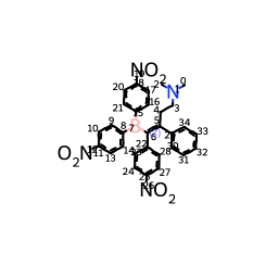 CN(C)CC/C(=C(\B(c1ccc([N+](=O)[O-])cc1)c1ccc([N+](=O)[O-])cc1)c1ccc([N+](=O)[O-])cc1)c1ccccc1